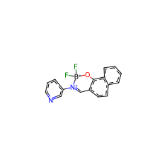 F[B-]1(F)Oc2c(ccc3ccccc23)C=[N+]1c1cccnc1